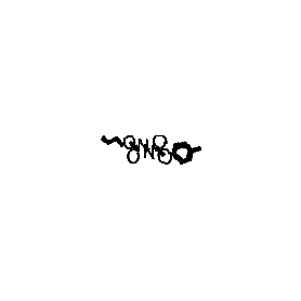 CCCCOC(=O)N=NC(=O)Oc1ccc(C)cc1